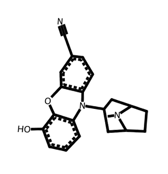 CN1C2CCC1CC(N1c3ccc(C#N)cc3Oc3c(O)cccc31)C2